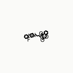 O=C1COc2ccccc2C(=O)N1CCCCN1CCN(c2ccccc2F)CC1